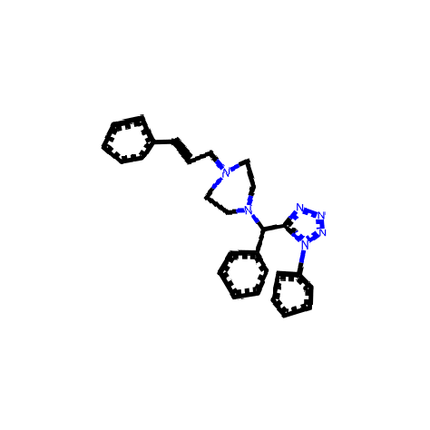 C(=Cc1ccccc1)CN1CCN(C(c2ccccc2)c2nnnn2-c2ccccc2)CC1